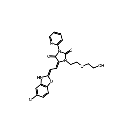 O=C1C(=CC=C2Nc3cc(Cl)ccc3O2)N(CCOCCO)C(=S)N1c1ccccn1